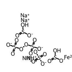 O=S(=O)([O-])OOS(=O)(=O)[O-].O=S(=O)([O-])[O-].O=S([O-])O.O=S([O-])O.[Fe+2].[NH4+].[NH4+].[Na+].[Na+]